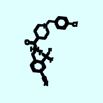 N#Cc1ccc(CNC(=O)C2CCN(Cc3ccc(Cl)cc3)CC2)c(C(F)(F)F)c1